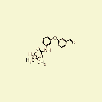 CC(C)(C)OC(=O)Nc1cccc(Oc2cccc(C=O)c2)c1